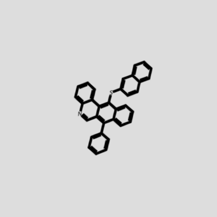 c1ccc(-c2c3ccccc3c(Sc3ccc4ccccc4c3)c3c2cnc2ccccc23)cc1